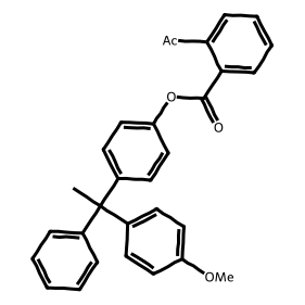 COc1ccc(C(C)(c2ccccc2)c2ccc(OC(=O)c3ccccc3C(C)=O)cc2)cc1